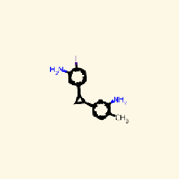 Cc1ccc(C2CC2c2ccc(I)c(N)c2)cc1N